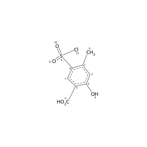 Cc1cc(O)c(C(=O)O)cc1S(=O)(=O)Cl